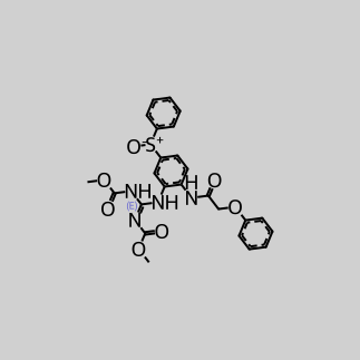 COC(=O)/N=C(/NC(=O)OC)Nc1cc([S+]([O-])c2ccccc2)ccc1NC(=O)COc1ccccc1